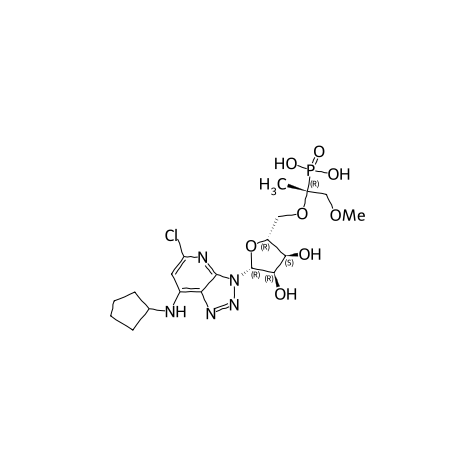 COC[C@](C)(OC[C@H]1O[C@@H](n2nnc3c(NC4CCCC4)cc(Cl)nc32)[C@H](O)[C@@H]1O)P(=O)(O)O